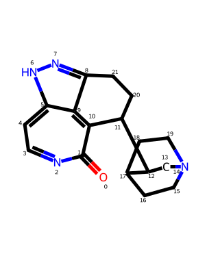 O=c1nccc2[nH]nc3c2c1C(C1CN2CCC1CC2)CC3